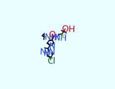 CC1(Nc2cc(-c3cnn4cc(Cl)cnc34)ncc2C(=O)NCC(F)C(C)(C)O)CC1